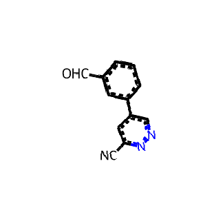 N#Cc1cc(-c2cccc(C=O)c2)cnn1